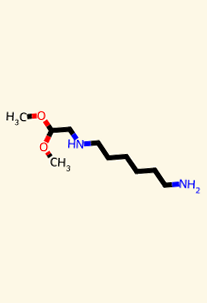 COC(CNCCCCCCN)OC